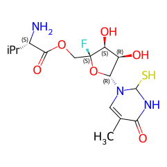 CC1=CN([C@@H]2O[C@](F)(COC(=O)[C@@H](N)C(C)C)[C@@H](O)[C@H]2O)C(S)NC1=O